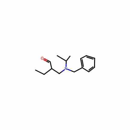 CCC(C=O)CN(Cc1ccccc1)C(C)C